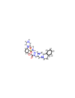 CN1CCN(c2cccc(OCC(=O)NC[C@H](CN3CCc4ccccc4C3)N(C)C)c2S(=O)(=O)N(C)C)CC1